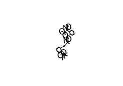 CO/N=C(/C(=O)OC)c1ccccc1CO/N=C(\C)C#Cc1cccc2c1OC(F)(F)O2